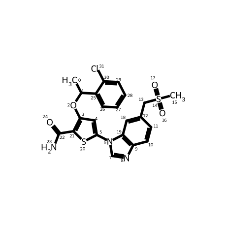 CC(Oc1cc(-n2cnc3ccc(CS(C)(=O)=O)cc32)sc1C(N)=O)c1ccccc1Cl